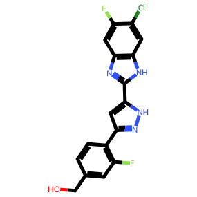 OCc1ccc(-c2cc(-c3nc4cc(F)c(Cl)cc4[nH]3)[nH]n2)c(F)c1